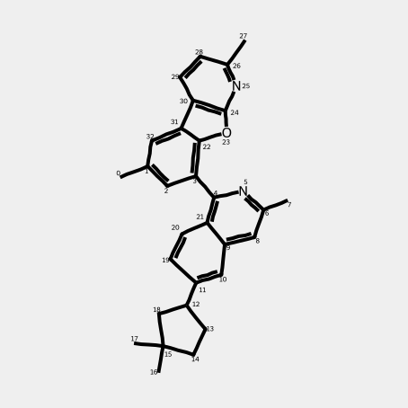 Cc1cc(-c2nc(C)cc3cc(C4CCC(C)(C)C4)ccc23)c2oc3nc(C)ccc3c2c1